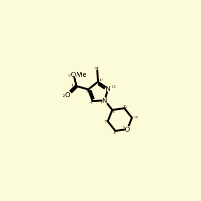 COC(=O)c1cn(C2CCOCC2)nc1C